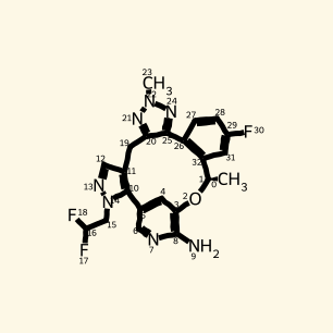 C[C@H]1Oc2cc(cnc2N)-c2c(cnn2CC(F)F)Cc2nn(C)nc2-c2ccc(F)cc21